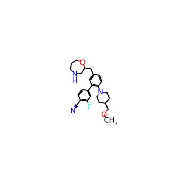 COCC1CCN(c2ccc(CC3CNCCCO3)cc2-c2ccc(C#N)c(F)c2)CC1